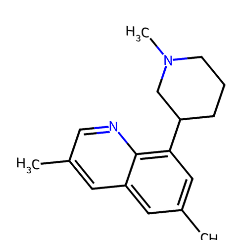 Cc1cnc2c(C3CCCN(C)C3)cc(C)cc2c1